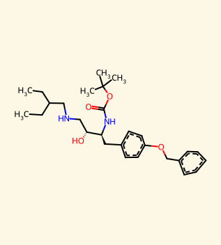 CCC(CC)CNC[C@@H](O)[C@H](Cc1ccc(OCc2ccccc2)cc1)NC(=O)OC(C)(C)C